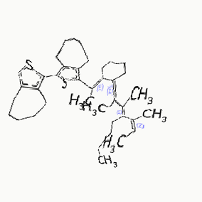 C\C=C(C)/C(CCCC)=C(C)/C(C)=C1\CCCC\C1=C(\C)c1sc(-c2scc3c2CCCCC3)c2c1CCCC2